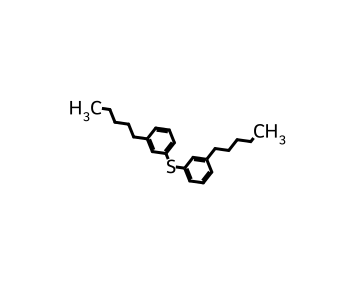 CCCCCc1cccc(Sc2cccc(CCCCC)c2)c1